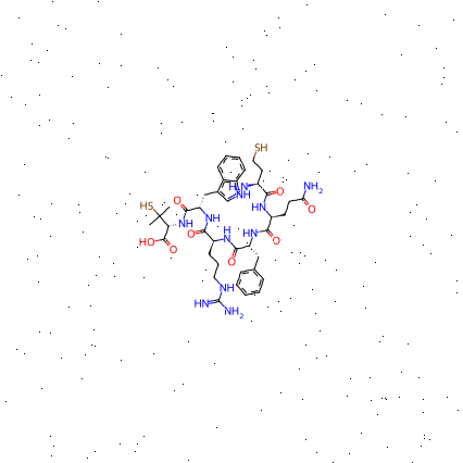 CC(C)(S)[C@H](NC(=O)[C@H](Cc1c[nH]c2ccccc12)NC(=O)[C@H](CCCNC(=N)N)NC(=O)[C@@H](Cc1ccccc1)NC(=O)[C@H](CCC(N)=O)NC(=O)[C@@H](N)CCS)C(=O)O